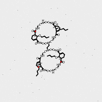 CCCCOC1C2=CCC[C@@H]1C(=O)NCCNCCNC(=O)[C@@H]1CCC=C(C(=O)NCCN(CCN3CCNC(=O)C4=CCC[C@@H](C(=O)NCCNCCNC(=O)C5CCC=C(C(=O)NCC3)[C@H]5OCCCC)C4OCCCC)CCNC2=O)C1OCCCC